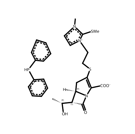 CSc1n(C)cc[n+]1CCSC1=C(C(=O)[O-])N2C(=O)[C@H]([C@@H](C)O)[C@H]2C1.c1ccc(Pc2ccccc2)cc1